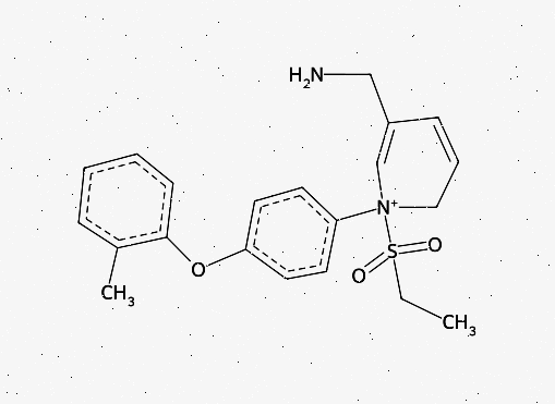 CCS(=O)(=O)[N+]1(c2ccc(Oc3ccccc3C)cc2)C=C(CN)C=CC1